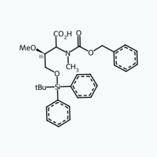 CO[C@H](CO[Si](c1ccccc1)(c1ccccc1)C(C)(C)C)C(C(=O)O)N(C)C(=O)OCc1ccccc1